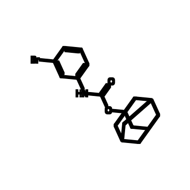 O=C(Nc1cccc(Br)c1)OC12CC3CC(CC(C3)C1)C2